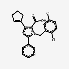 O=C(O)c1c(C2=CCCC2)nc(-c2cccnc2)n1Cc1cc(Cl)ccc1Cl